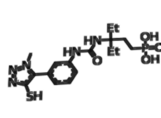 CCC(CC)(CCP(=O)(O)O)NC(=O)Nc1cccc(-c2c(S)nnn2C)c1